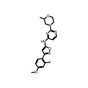 COc1ccc(-c2cc(Nc3ccnc(N4CCOC(C)C4)n3)on2)c(F)c1